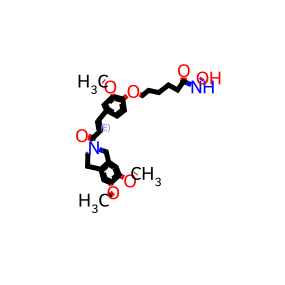 COc1cc2c(cc1OC)CN(C(=O)/C=C/c1ccc(OCCCCCC(=O)NO)c(OC)c1)CC2